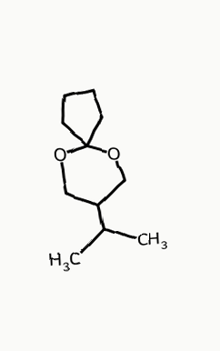 CC(C)C1COC2(CCCC2)OC1